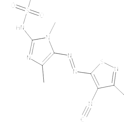 [C-]#[N+]c1c(C)nsc1/N=N/c1c(C)nc(NS(C)(=O)=O)n1C